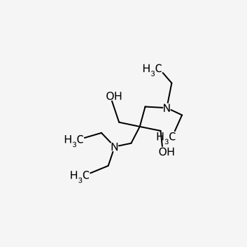 CCN(CC)CC(CO)(CO)CN(CC)CC